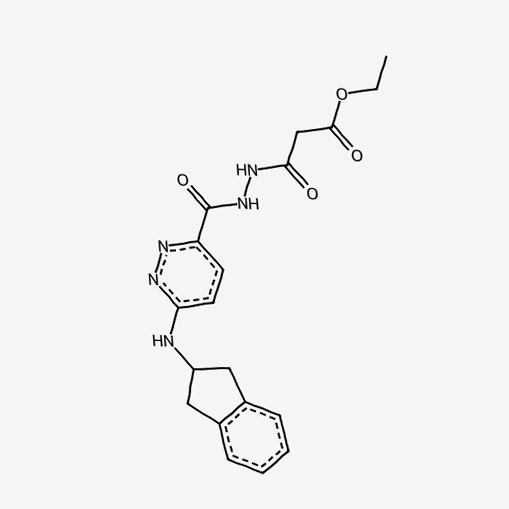 CCOC(=O)CC(=O)NNC(=O)c1ccc(NC2Cc3ccccc3C2)nn1